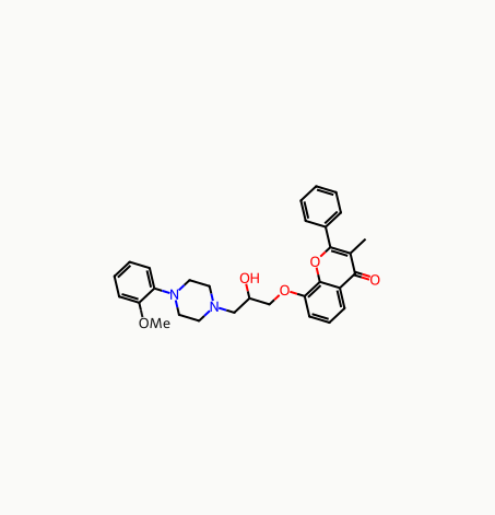 COc1ccccc1N1CCN(CC(O)COc2cccc3c(=O)c(C)c(-c4ccccc4)oc23)CC1